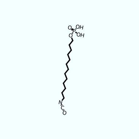 O=C=NCCCCCCCCCCCCCOP(=O)(O)O